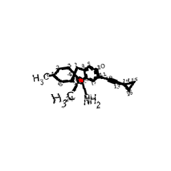 CC1CCC2(CC1)Cc1ccc(C#CC3CC3)cc1C21N=C(N)N(C)O1